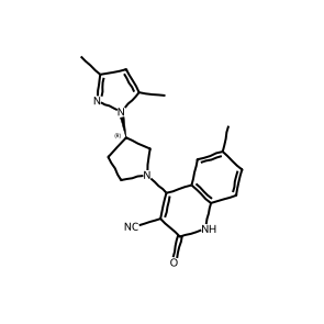 Cc1ccc2[nH]c(=O)c(C#N)c(N3CC[C@@H](n4nc(C)cc4C)C3)c2c1